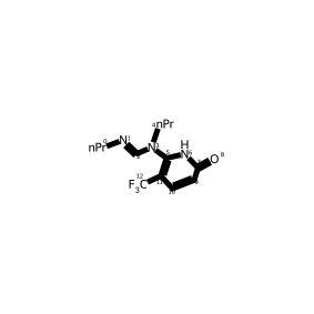 CCCN=CN(CCC)c1[nH]c(=O)ccc1C(F)(F)F